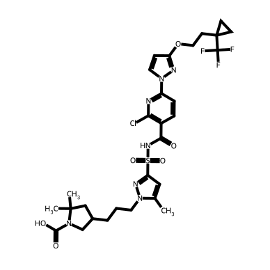 Cc1cc(S(=O)(=O)NC(=O)c2ccc(-n3ccc(OCCC4(C(F)(F)F)CC4)n3)nc2Cl)nn1CCCC1CN(C(=O)O)C(C)(C)C1